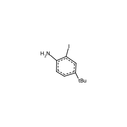 CC(C)(C)c1ccc(N)c(I)c1